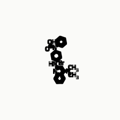 CN(C)c1cc(N[C@]2(Br)CC[C@H](N(C(=O)O)c3ccccc3)CC2)nc2ccccc12